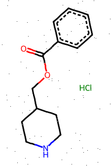 Cl.O=C(OCC1CCNCC1)c1ccccc1